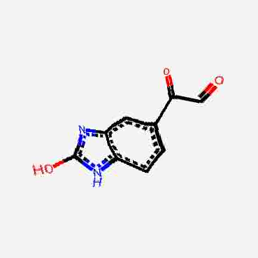 O=CC(=O)c1ccc2[nH]c(O)nc2c1